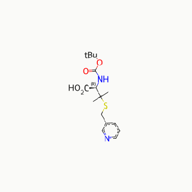 CC(C)(C)OC(=O)N[C@H](C(=O)O)C(C)(C)SCc1cccnc1